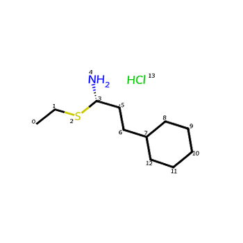 CCS[C@H](N)[CH]CC1CCCCC1.Cl